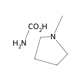 CN1CCCC1.NC(=O)O